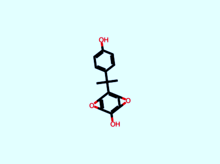 CC(C)(c1ccc(O)cc1)c1c2oc2c(O)c2oc12